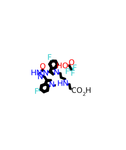 Cn1cc(-c2n[nH]c(=O)n2-c2cn(CCCNCCC(=O)O)c3ccc(F)cc23)c2cc(F)ccc21.O=C(O)C(F)(F)F